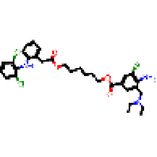 CCN(CC)Cc1cc(C(=O)OCCCCCCOC(=O)Cc2ccccc2Nc2c(Cl)cccc2Cl)cc(Br)c1N